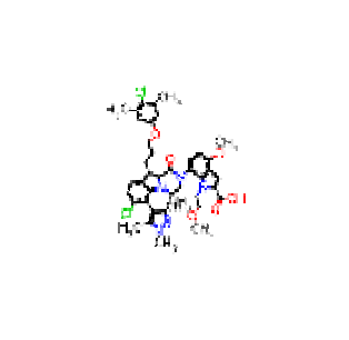 COCCn1c(C(=O)O)cc2c(OC)ccc(N3CC(C)n4c(c(CCCOc5cc(C)c(Cl)c(C)c5)c5ccc(Cl)c(-c6c(C)nn(C)c6C)c54)C3=O)c21